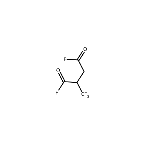 O=C(F)CC(C(=O)F)C(F)(F)F